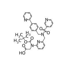 CC(C)(C)OC(=O)N(CC(=O)O)c1cccc(CN(Cc2ccc(-c3ccccn3)cc2)S(=O)(=O)c2cccnc2)n1